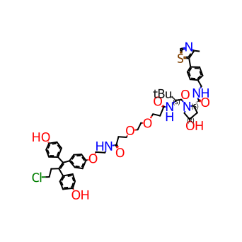 Cc1ncsc1-c1ccc(CNC(=O)[C@@H]2C[C@@H](O)CN2C(=O)[C@@H](NC(=O)CCOCCOCCC(=O)NCCOc2ccc(C(=C(CCCl)c3ccc(O)cc3)c3ccc(O)cc3)cc2)C(C)(C)C)cc1